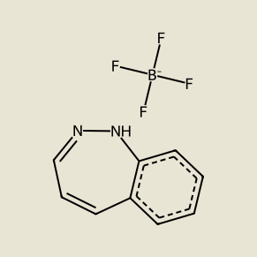 C1=Cc2ccccc2NN=C1.F[B-](F)(F)F